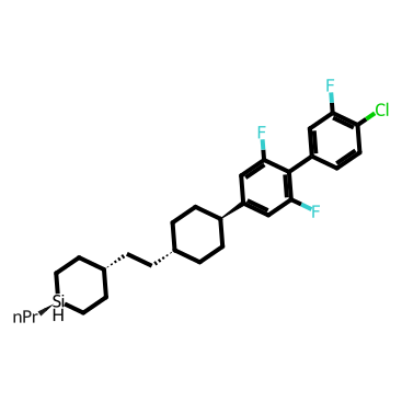 CCC[Si@H]1CC[C@H](CC[C@H]2CC[C@H](c3cc(F)c(-c4ccc(Cl)c(F)c4)c(F)c3)CC2)CC1